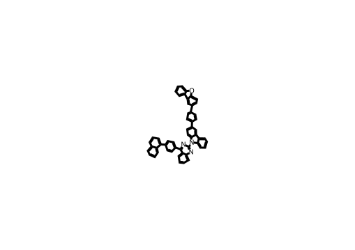 c1ccc2c(-c3ccc(-c4nc(-n5c6ccccc6c6cc(-c7ccc(-c8ccc9oc%10ccccc%10c9c8)cc7)ccc65)nc5ccccc45)cc3)cccc2c1